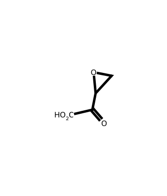 O=C(O)C(=O)C1CO1